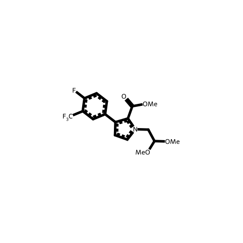 COC(=O)c1c(-c2ccc(F)c(C(F)(F)F)c2)ccn1CC(OC)OC